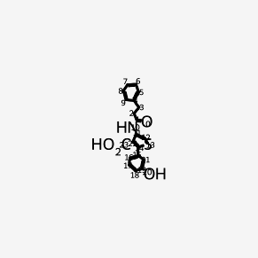 O=C(CCc1ccccc1)Nc1csc(-c2cccc(O)c2)c1C(=O)O